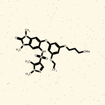 COCCCOc1cc(OCC(F)(F)F)cc(Oc2cc3c(cc2NS(=O)(=O)c2cnn(C)c2C)n(C)c(=O)n3C)c1